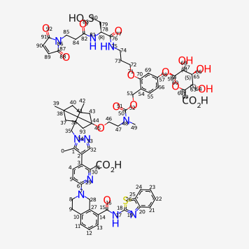 Cc1c(-c2ccc(N3CCc4cccc(C(=O)Nc5nc6ccccc6s5)c4C3)nc2C(=O)O)cnn1CC12CC3(C)CC1(C)CC3(OCCN(C)C(=O)OCc1ccc(O[C@@H]3O[C@H](C(=O)O)[C@@H](O)[C@H](O)[C@H]3O)cc1OCCCNC(=O)[C@H](CS(=O)(=O)O)NC(=O)CCN1C(=O)C=CC1=O)C2